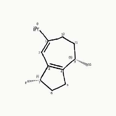 CC(C)C1=CC2=C(CC[C@@H]2C)[C@@H](C)CC1